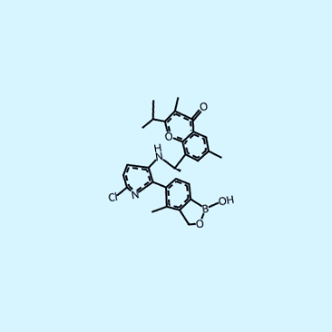 Cc1cc([C@@H](C)Nc2ccc(Cl)nc2-c2ccc3c(c2C)COB3O)c2oc(C(C)C)c(C)c(=O)c2c1